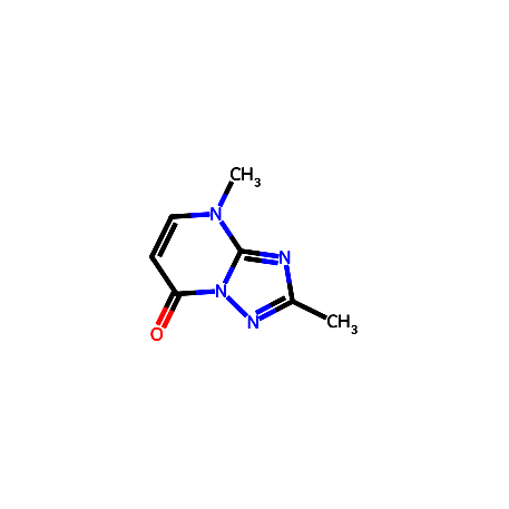 Cc1nc2n(C)ccc(=O)n2n1